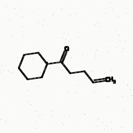 C=CCCC(=O)[C]1CCCCC1